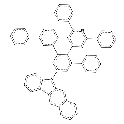 c1ccc(-c2cccc(-c3cc(-n4c5ccccc5c5cc6ccccc6cc54)cc(-c4ccccc4)c3-c3nc(-c4ccccc4)nc(-c4ccccc4)n3)c2)cc1